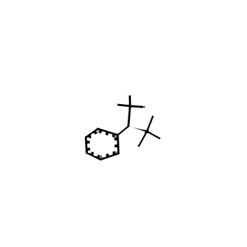 CC(C)(C)[C@@H](c1ccccc1)C(F)(F)F